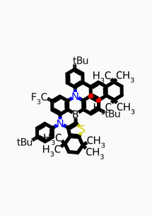 CC(C)(C)c1ccc(N2c3cc(C(F)(F)F)cc4c3B(c3cc(C(C)(C)C)ccc3N4c3ccc(C(C)(C)C)cc3-c3ccc4c(c3)C(C)(C)CCC4(C)C)c3sc4c(c32)C(C)(C)CCC4(C)C)cc1